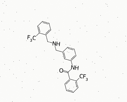 O=C(Nc1cccc(CNCc2ccccc2C(F)(F)F)c1)c1ccccc1C(F)(F)F